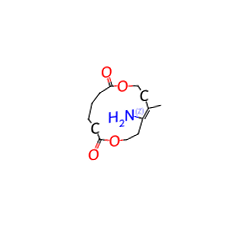 C/C1=C(/N)CCOC(=O)CCCCC(=O)OCC1